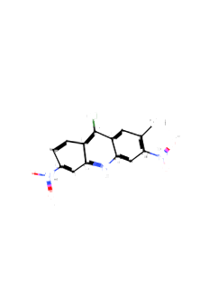 Cc1cc2c(Cl)c3ccc([N+](=O)[O-])cc3nc2cc1[N+](=O)[O-]